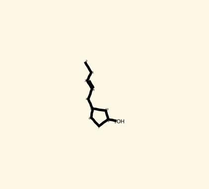 CC/C=C/CC1CCC(O)C1